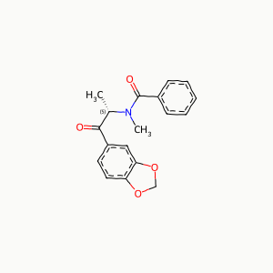 C[C@@H](C(=O)c1ccc2c(c1)OCO2)N(C)C(=O)c1ccccc1